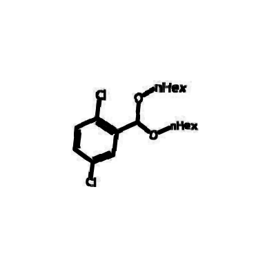 CCCCCCOC(OCCCCCC)c1cc(Cl)ccc1Cl